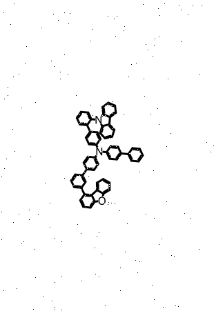 c1ccc(-c2ccc(N(c3ccc(-c4cccc(-c5cccc6oc7ccccc7c56)c4)cc3)c3ccc(-c4ccccc4-n4c5ccccc5c5ccccc54)cc3)cc2)cc1